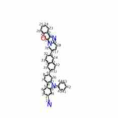 N#Cc1ccc2c3ccc(-c4ccc5cc(-c6ccc7nc8c9ccccc9oc8n7c6)ccc5c4)cc3n(-c3ccccc3)c2c1